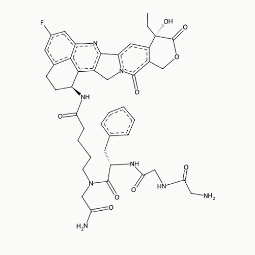 CC[C@@]1(O)C(=O)OCc2c1cc1n(c2=O)Cc2c-1nc1cc(F)cc3c1c2[C@@H](NC(=O)CCCCN(CC(N)=O)C(=O)[C@H](Cc1ccccc1)NC(=O)CNC(=O)CN)CC3